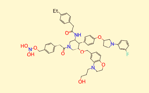 CCc1ccc(CC(=O)NC2CN(C(=O)Cc3ccc(CON(O)O)cc3)CC(OCc3ccc4c(c3)N(CCCO)CCO4)C2c2ccc(OC3CCN(c4cccc(F)c4)C3)cc2)cc1